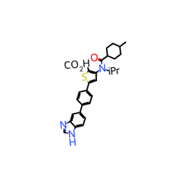 CC1CCC(C(=O)N(c2cc(-c3ccc(-c4ccc5[nH]cnc5c4)cc3)sc2C(=O)O)C(C)C)CC1